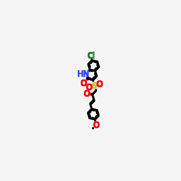 COc1ccc(C=CC(=O)CS(=O)(=O)c2cc3ccc(Cl)cc3[nH]c2=O)cc1